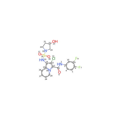 O=C(Nc1ccc(F)c(F)c1)c1c(Cl)c(NS(=O)(=O)N2CCC(O)C2)c2ccccn12